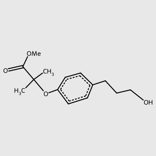 COC(=O)C(C)(C)Oc1ccc(CCCO)cc1